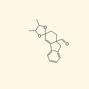 CC1OC2(C=C3c4ccccc4CC3(C=O)CC2)OC1C